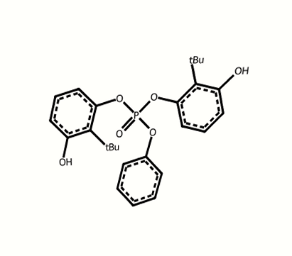 CC(C)(C)c1c(O)cccc1OP(=O)(Oc1ccccc1)Oc1cccc(O)c1C(C)(C)C